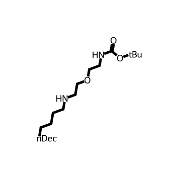 CCCCCCCCCCCCCCNCCOCCNC(=O)OC(C)(C)C